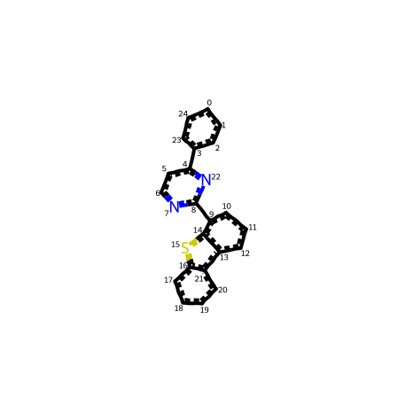 c1ccc(-c2ccnc(-c3cccc4c3sc3ccccc34)n2)cc1